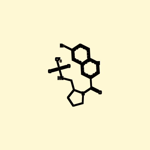 O=C(c1cnc2ccc(Br)cc2c1)N1CCCC1CNS(=O)(=O)C(F)(F)F